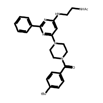 CC(=O)NCCNc1cc(N2CCN(C(=O)c3ccc(C(C)(C)C)cc3)CC2)nc(-c2ccccc2)n1